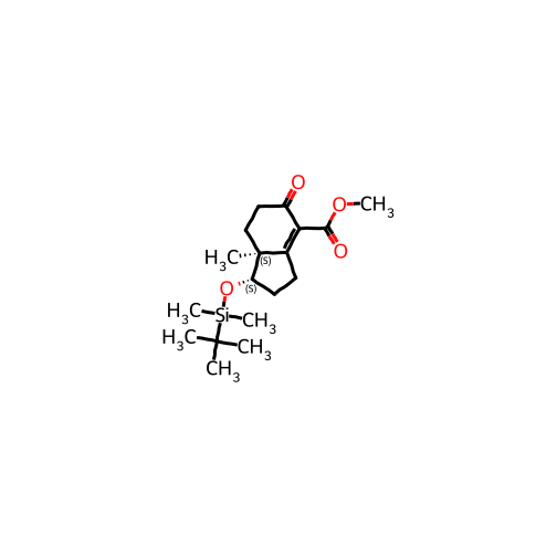 COC(=O)C1=C2CC[C@H](O[Si](C)(C)C(C)(C)C)[C@@]2(C)CCC1=O